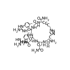 N=C(N)Nc1ccc(C[C@H]2NC(=O)[C@@H](Cc3ccc(NC(=N)N)cc3)NC(=O)[C@@H](CCC(N)=O)NC(=O)C(CCC(N)=O)NC(O)[C@@H](N)Cc3cn(nn3)CCCCC(C(N)=O)NC2=O)cc1